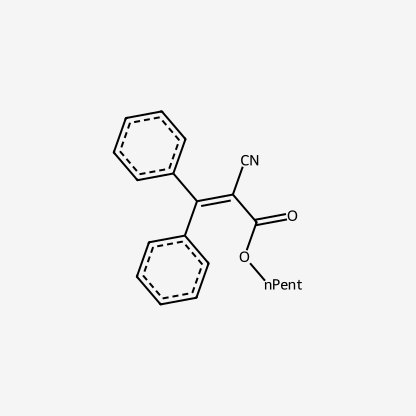 CCCCCOC(=O)C(C#N)=C(c1ccccc1)c1ccccc1